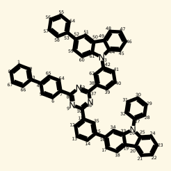 c1ccc(-c2ccc(-c3nc(-c4cccc(-c5ccc6c7ccccc7n(-c7ccccc7)c6c5)c4)nc(-c4cccc(-n5c6ccccc6c6cc(-c7ccccc7)ccc65)c4)n3)cc2)cc1